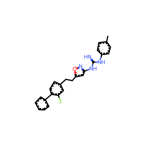 Cc1ccc(NC(=N)Nc2cc(CCc3ccc(-c4ccccc4)c(F)c3)on2)cc1